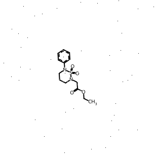 CCOC(=O)CN1CCCN(c2ccccc2)S1(=O)=O